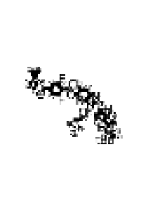 CC(C)(C)[Si](C)(C)O[C@@H]1CO[C@H]2[C@@H]1OC[C@H]2Oc1nc2cc(Cl)c(OCc3c(F)cc(C(=O)N=S(C)(=O)C4CC4)cc3F)nc2n1COCC[Si](C)(C)C